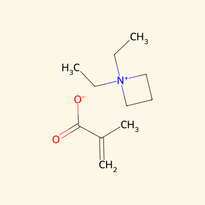 C=C(C)C(=O)[O-].CC[N+]1(CC)CCC1